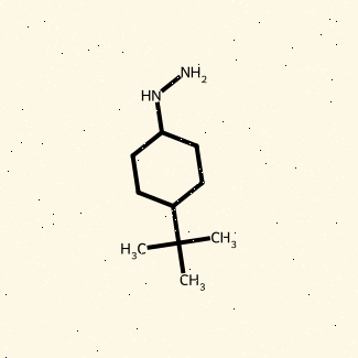 CC(C)(C)C1CCC(NN)CC1